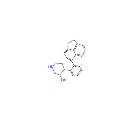 OC1CNCCC1c1ccccc1-c1ccc2c3c(cccc13)CC2